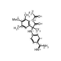 COc1c(C)cc(C(Nc2ccc(C(=N)N)cc2)(C(=O)OC(=O)C(F)(F)F)C(F)(F)F)cc1C